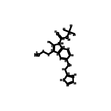 Cc1c(CCO)c2cc(OCc3nccs3)ccc2n1C(=O)OC(C)(C)C